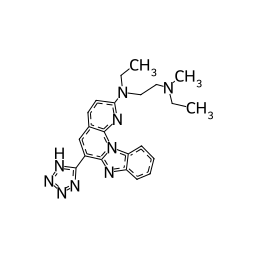 CCN(C)CCN(CC)c1ccc2cc(-c3nnn[nH]3)c3nc4ccccc4n3c2n1